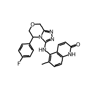 Cc1ccc2[nH]c(=O)ccc2c1Nc1nnc2n1C(c1ccc(F)cc1)COC2